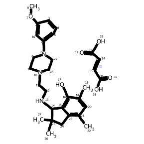 COc1cccc(N2CCN(CCNC3c4c(O)c(C)cc(C)c4CC3(C)C)CC2)c1.O=C(O)/C=C/C(=O)O